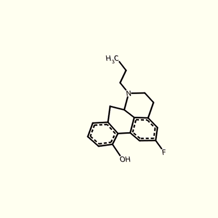 CCCN1CCc2cc(F)cc3c2C1Cc1cccc(O)c1-3